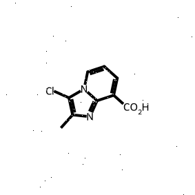 Cc1nc2c(C(=O)O)cccn2c1Cl